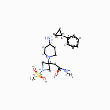 CNC(=O)CC1(N2CCC(N[C@@H]3C[C@H]3c3ccccc3)CC2)CN(S(C)(=O)=O)C1